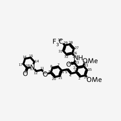 COc1cc(/C=C/c2ccc(OCCN3CCCCC3=O)cc2)c(C(=O)Nc2ccc(C(F)(F)F)cc2)c(OC)c1